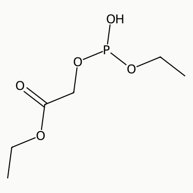 CCOC(=O)COP(O)OCC